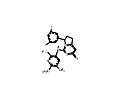 COc1nc(C)c(Nc2nc(=O)cc3n2C(c2cc(F)cc(F)c2)CC3)cc1C